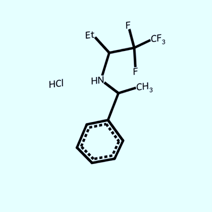 CCC(NC(C)c1ccccc1)C(F)(F)C(F)(F)F.Cl